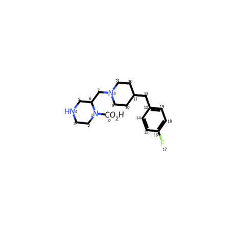 O=C(O)N1CCNCC1CN1CCC(Cc2ccc(F)cc2)CC1